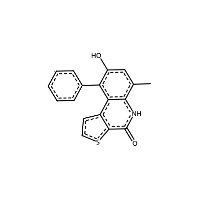 Cc1cc(O)c(-c2c[c]ccc2)c2c1[nH]c(=O)c1sccc12